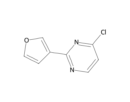 Clc1ccnc(-c2ccoc2)n1